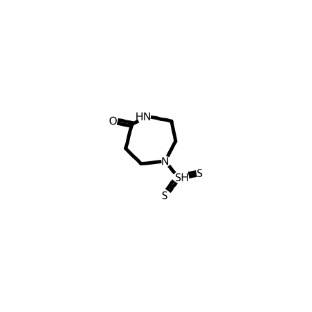 O=C1CCN([SH](=S)=S)CCN1